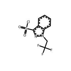 O=S(=O)(Cl)c1nn(CC(F)(F)F)c2ccccc12